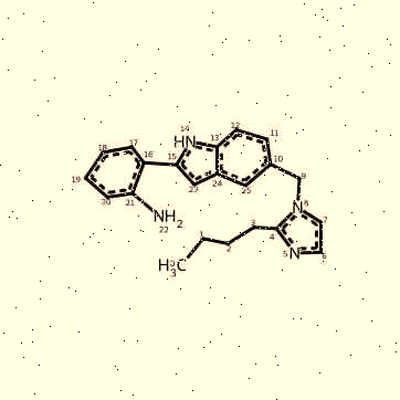 CCCCc1nccn1Cc1ccc2[nH]c(-c3ccccc3N)cc2c1